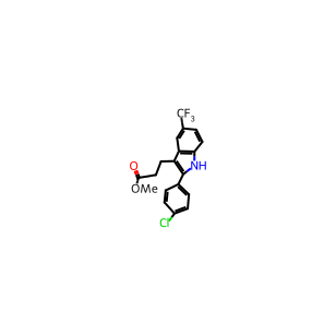 COC(=O)CCc1c(-c2ccc(Cl)cc2)[nH]c2ccc(C(F)(F)F)cc12